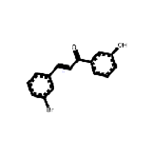 O=C(/C=C/c1cccc(Br)c1)c1cccc(O)c1